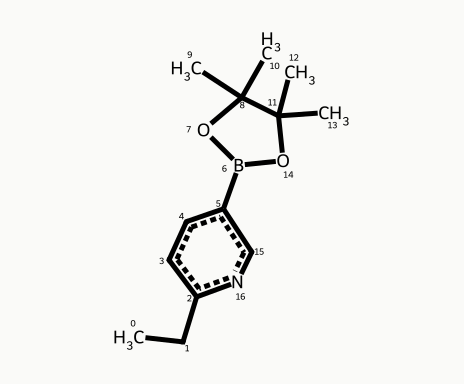 CCc1ccc(B2OC(C)(C)C(C)(C)O2)cn1